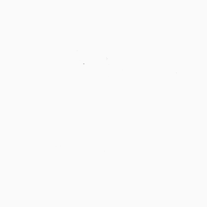 Cc1ccccc1-c1cccc2c1C=C[CH]2[Hf]([CH3])([CH3])([CH]1C=Cc2c(-c3ccccc3C)cccc21)=[Si](C)CCc1ccccc1